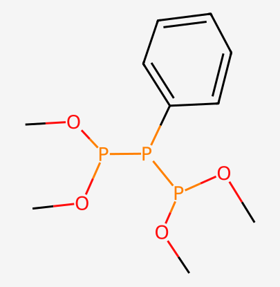 COP(OC)P(c1ccccc1)P(OC)OC